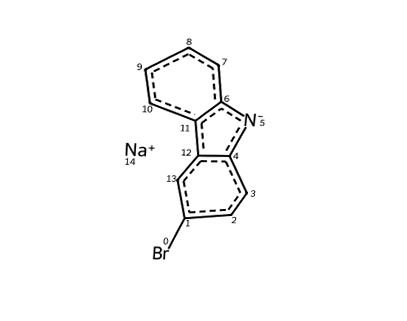 Brc1ccc2[n-]c3ccccc3c2c1.[Na+]